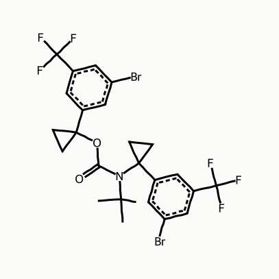 CC(C)(C)N(C(=O)OC1(c2cc(Br)cc(C(F)(F)F)c2)CC1)C1(c2cc(Br)cc(C(F)(F)F)c2)CC1